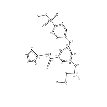 CCS(=O)(=O)c1ccc(Oc2cc(C(=O)Nc3nccs3)cc(O[C@H](C)COC)n2)cc1